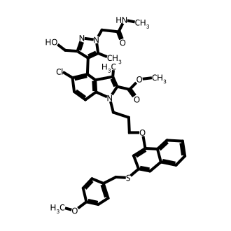 CNC(=O)Cn1nc(CO)c(-c2c(Cl)ccc3c2c(C)c(C(=O)OC)n3CCCOc2cc(SCc3ccc(OC)cc3)cc3ccccc23)c1C